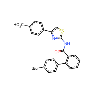 CC(C)(C)c1ccc(-c2ccccc2C(=O)Nc2nc(-c3ccc(C(=O)O)cc3)cs2)cc1